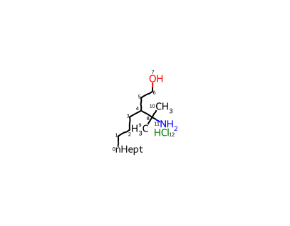 CCCCCCCCCCC(CCO)C(C)(C)N.Cl